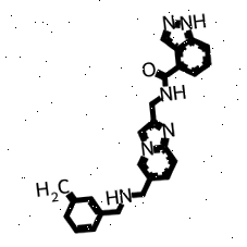 C=C1C=C(CNCc2ccc3nc(CNC(=O)c4cccc5[nH]ncc45)cn3c2)C=CC1